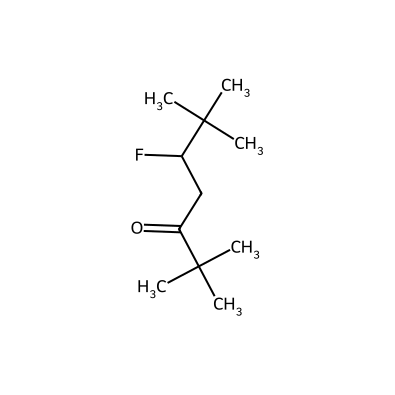 CC(C)(C)C(=O)CC(F)C(C)(C)C